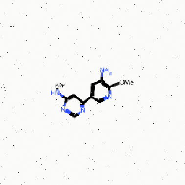 CCCNc1cc(-c2cnc(OC)c(N)c2)ncn1